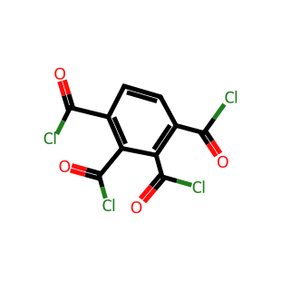 O=C(Cl)c1ccc(C(=O)Cl)c(C(=O)Cl)c1C(=O)Cl